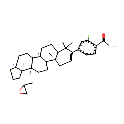 COC(=O)c1ccc(C2=CC[C@]3(C)[C@H]4CC[C@@H]5[C@H]6[C@H](C7(C)CO7)CC[C@]6(N)CC[C@@]5(C)[C@]4(C)CC[C@H]3C2(C)C)cc1F